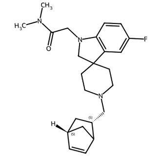 CN(C)C(=O)CN1CC2(CCN(C[C@H]3C[C@H]4C=CC3C4)CC2)c2cc(F)ccc21